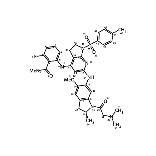 CNC(=O)c1c(F)cccc1Nc1nc(Nc2cc3c(cc2OC)C[C@H](C)N3C(=O)CN(C)C)nc2c1CCN2S(=O)(=O)c1ccc(C)cc1